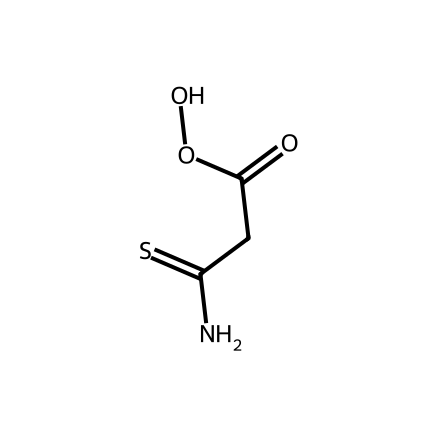 NC(=S)CC(=O)OO